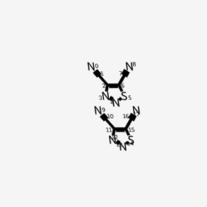 N#Cc1nnsc1C#N.N#Cc1nnsc1C#N